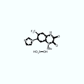 CCCCn1c(=O)c(=O)[nH]c2cc(C(F)(F)F)c(-n3ccnc3)cc21.O=S(=O)(O)O